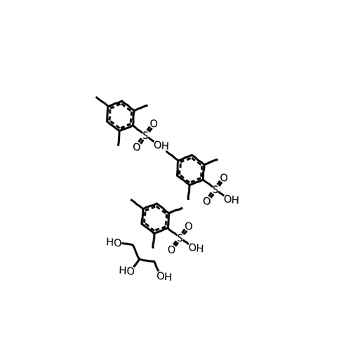 Cc1cc(C)c(S(=O)(=O)O)c(C)c1.Cc1cc(C)c(S(=O)(=O)O)c(C)c1.Cc1cc(C)c(S(=O)(=O)O)c(C)c1.OCC(O)CO